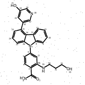 NC(=O)c1ccc(-n2c3ccccc3c3c(-c4cncc(O)c4)cccc32)cc1NCCCO